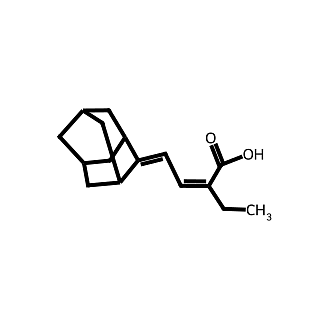 CCC(=CC=C1C2CC3CC(C2)CC1C3)C(=O)O